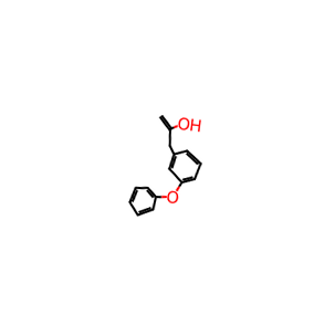 C=C(O)Cc1cccc(Oc2ccccc2)c1